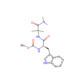 CN(C)C(=O)C(C)(C)NC(=O)[C@@H](Cc1c[nH]c2ccccc12)NC(=O)OC(C)(C)C